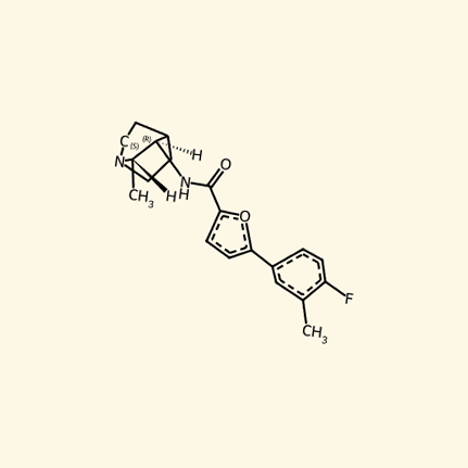 Cc1cc(-c2ccc(C(=O)N[C@@H]3C4CCN(CC4)[C@H]3C)o2)ccc1F